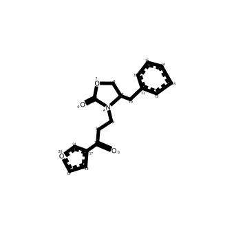 O=C(CCN1C(=O)OCC1Cc1ccccc1)c1ccoc1